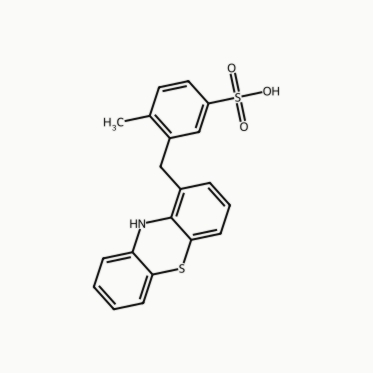 Cc1ccc(S(=O)(=O)O)cc1Cc1cccc2c1Nc1ccccc1S2